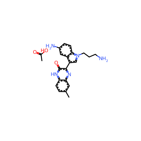 CC(=O)O.Cc1ccc2[nH]c(=O)c(-c3cn(CCCN)c4ccc(N)cc34)nc2c1